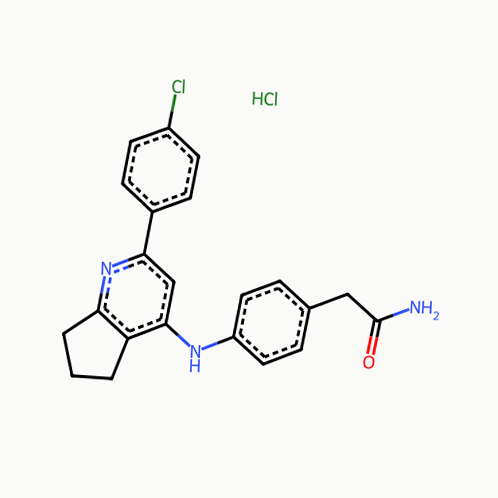 Cl.NC(=O)Cc1ccc(Nc2cc(-c3ccc(Cl)cc3)nc3c2CCC3)cc1